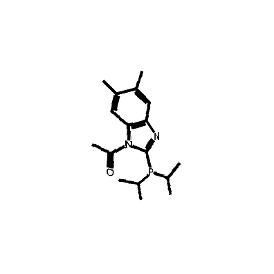 CC(=O)n1c(P(C(C)C)C(C)C)nc2cc(C)c(C)cc21